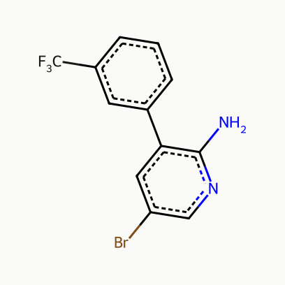 Nc1ncc(Br)cc1-c1cccc(C(F)(F)F)c1